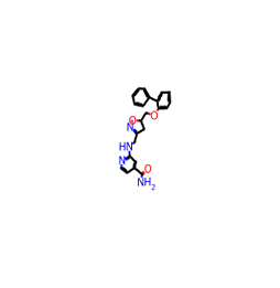 NC(=O)c1ccnc(NCC2=NOC(COc3ccccc3-c3ccccc3)C2)c1